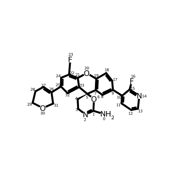 NC1=NCC[C@]2(O1)c1cc(-c3cccnc3F)ccc1Oc1c(F)cc(C3=CCCOC3)cc12